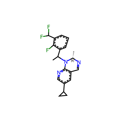 CC(c1cccc(C(F)F)c1F)N1c2ncc(C3CC3)cc2C=N[C@H]1C